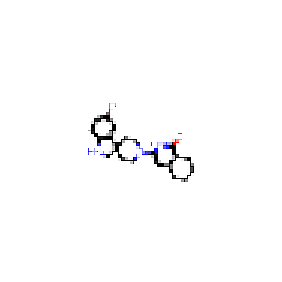 O=c1[nH]c(N2CCC3(CC2)CNc2ccc(Br)cc23)cc2c1CCCC2